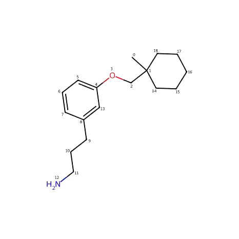 CC1(COc2cccc(CCCN)c2)CCCCC1